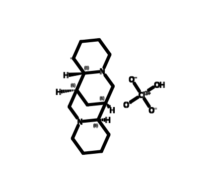 [CH]1CCCN2C[C@@H]3C[C@@H](CN4CCCC[C@H]34)[C@H]12.[O-][Cl+3]([O-])([O-])O